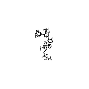 Cc1ccc(S(=O)(=O)NCCC(C)(C)O)cc1-c1cnc(N)c(-c2cncnc2)n1